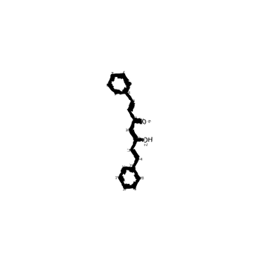 O=C(C=Cc1ccccc1)C=C(O)C=Cc1ccccc1